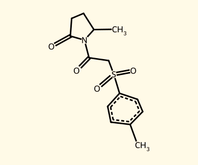 Cc1ccc(S(=O)(=O)CC(=O)N2C(=O)CCC2C)cc1